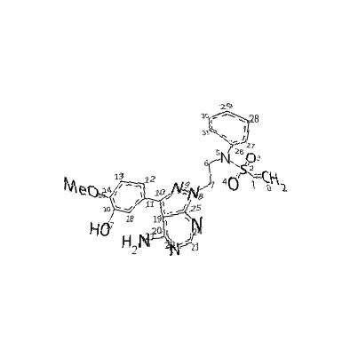 C=CS(=O)(=O)N(CCn1nc(-c2ccc(OC)c(O)c2)c2c(N)ncnc21)c1ccccc1